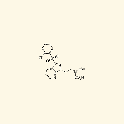 CC(C)(C)N(CCc1cn(S(=O)(=O)c2ccccc2Cl)c2cccnc12)C(=O)O